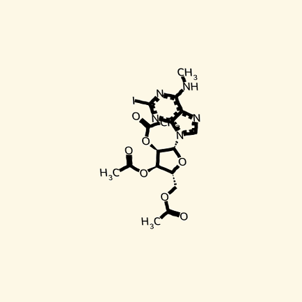 CNc1nc(I)nc2c1ncn2[C@@H]1O[C@H](COC(C)=O)[C@@H](OC(C)=O)[C@H]1OC(C)=O